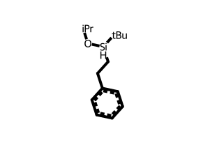 CC(C)O[SiH](CCc1ccccc1)C(C)(C)C